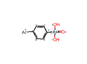 CC(=O)c1ccc([As](=O)(O)O)cc1